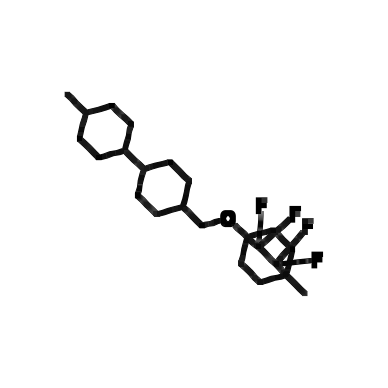 CC1CCC(C2CCC(COC34CCC(C)(CC3)C(F)(F)C4(F)F)CC2)CC1